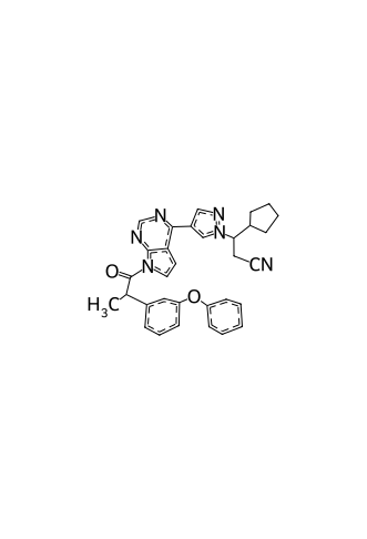 CC(C(=O)n1ccc2c(-c3cnn(C(CC#N)C4CCCC4)c3)ncnc21)c1cccc(Oc2ccccc2)c1